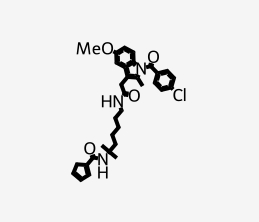 COc1ccc2c(c1)c(CC(=O)NCCCCCC(C)(C)NC(=O)C1=CC=CC1)c(C)n2C(=O)c1ccc(Cl)cc1